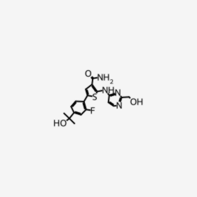 CC(C)(O)c1ccc(-c2cc(C(N)=O)c(Nc3ccnc(CO)n3)s2)c(F)c1